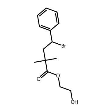 CC(C)(CC(Br)c1ccccc1)C(=O)OCCO